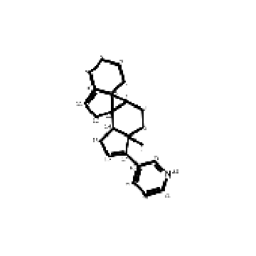 CC12CCC3C45CCCCC4=CCC35C1CC=C2c1cccnc1